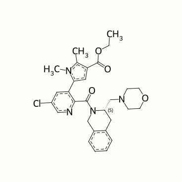 CCOC(=O)c1cc(-c2cc(Cl)cnc2C(=O)N2Cc3ccccc3C[C@H]2CN2CCOCC2)n(C)c1C